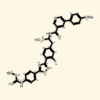 COc1ccc(-c2cncc(C(=O)NC(Cc3ccc(-c4noc(-c5ccc(NC(=O)OC(C)(C)C)cc5)n4)c(F)c3)C(=O)O)c2)cc1